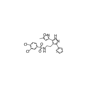 Cc1cc(-c2[nH]nc(-c3cccs3)c2CCNS(=O)(=O)c2ccc(Cl)c(Cl)c2)no1